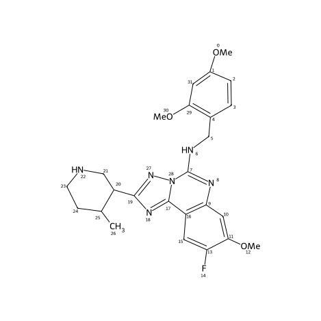 COc1ccc(CNc2nc3cc(OC)c(F)cc3c3nc(C4CNCCC4C)nn23)c(OC)c1